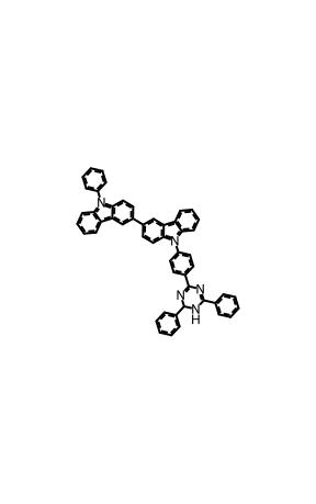 c1ccc(C2=NC(c3ccc(-n4c5ccccc5c5cc(-c6ccc7c(c6)c6ccccc6n7-c6ccccc6)ccc54)cc3)=NC(c3ccccc3)N2)cc1